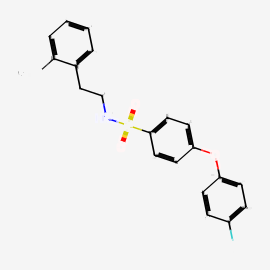 COc1ccccc1CCNS(=O)(=O)c1ccc(Oc2ccc(F)cc2)cc1